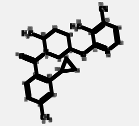 Cc1ccc(C(=O)N2CC(Oc3nccc(C#N)c3C)CCC2C)c(C2CC2)c1